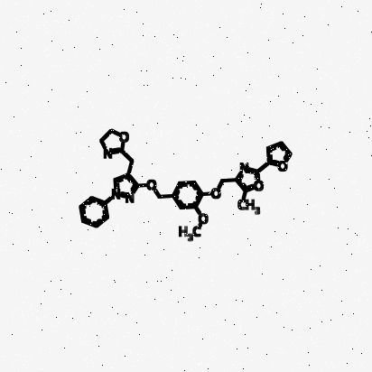 COc1cc(COc2nn(-c3ccccc3)cc2CC2=NCCO2)ccc1OCc1nc(-c2ccco2)oc1C